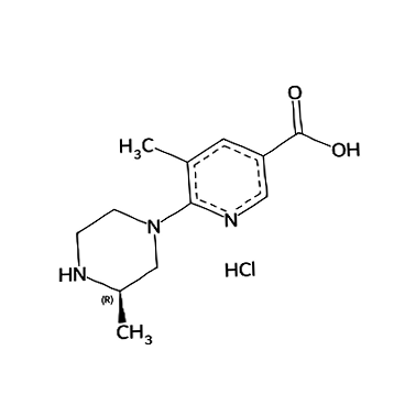 Cc1cc(C(=O)O)cnc1N1CCN[C@H](C)C1.Cl